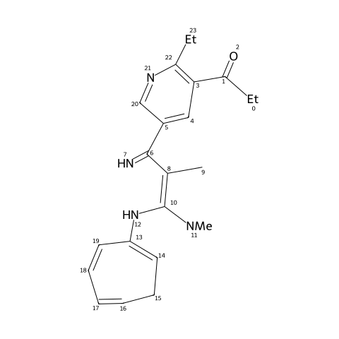 CCC(=O)c1cc(C(=N)/C(C)=C(/NC)NC2=CCC=CC=C2)cnc1CC